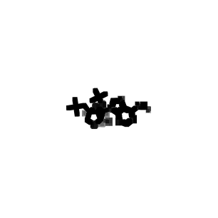 CC(C)(C)C[C@]12CO[C@@H](C1OC(C)(C)C)[C@H](n1cnc3c(N)ncnc31)O2